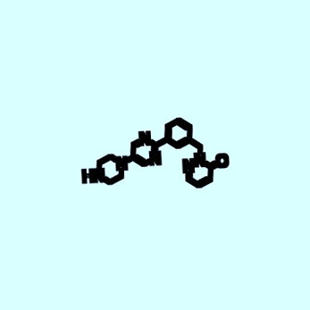 O=c1cccnn1Cc1cccc(-c2ncc(N3CCNCC3)cn2)c1